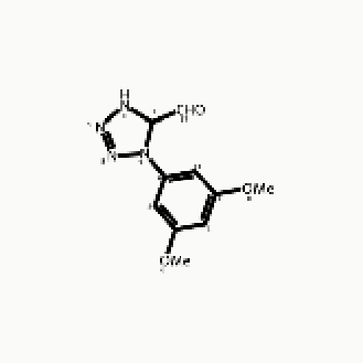 COc1cc(OC)cc(N2N=NNC2C=O)c1